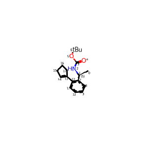 C[C@H](NC(=O)OC(C)(C)C)c1ccccc1C1=CCCC1